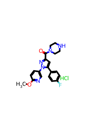 COc1ccc(-n2nc(C(=O)N3CCNCC3)cc2-c2ccc(F)cc2)cn1.Cl